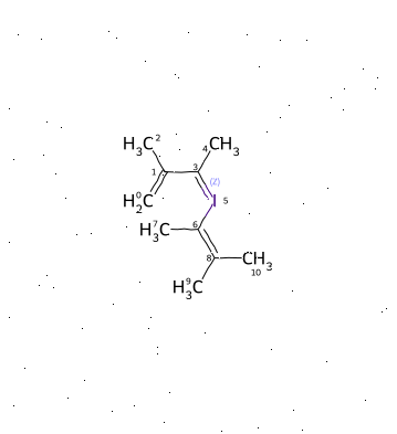 C=C(C)/C(C)=I\C(C)=C(C)C